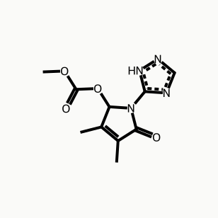 COC(=O)OC1C(C)=C(C)C(=O)N1c1ncn[nH]1